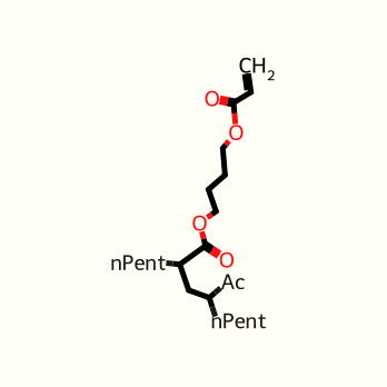 C=CC(=O)OCCCCOC(=O)C(CCCCC)CC(CCCCC)C(C)=O